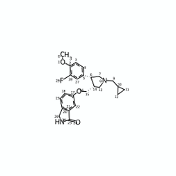 COc1ccc([C@@H]2CN(CC3CC3)C[C@@H]2COc2ccc3c(c2)C(=O)NC3)cc1F